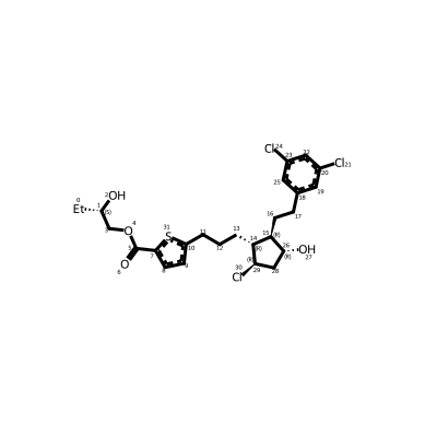 CC[C@H](O)COC(=O)c1ccc(CCC[C@@H]2[C@@H](CCc3cc(Cl)cc(Cl)c3)[C@H](O)C[C@H]2Cl)s1